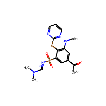 CCCCNc1cc(C(=O)OC)cc(S(=O)(=O)/N=C/N(C)C)c1Sc1ncccn1